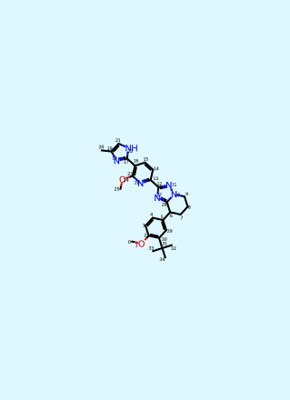 COc1ccc(C2CCCn3nc(-c4ccc(-c5nc(C)c[nH]5)c(OC)n4)nc32)cc1C(C)(C)C